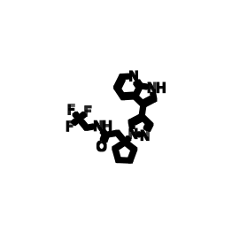 O=C(CC1(n2cc(-c3c[nH]c4ncccc34)cn2)CCCC1)NCC(F)(F)F